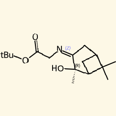 CC(C)(C)OC(=O)C/N=C1/CC2CC(C2(C)C)[C@@]1(C)O